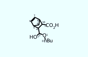 CCCCOC(O)C1C2C=CC(C2)C1C(=O)O